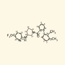 Cc1cccc(-c2ccccc2C(=O)N2CCCC(Nc3ccc(C(F)(F)F)cn3)C2)c1C